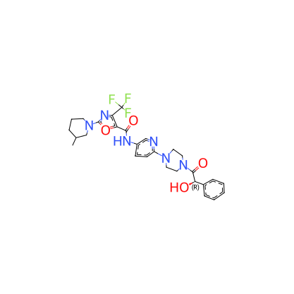 CC1CCCN(c2nc(C(F)(F)F)c(C(=O)Nc3ccc(N4CCN(C(=O)[C@H](O)c5ccccc5)CC4)nc3)o2)C1